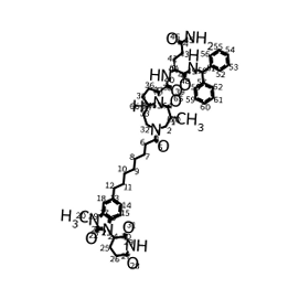 C[C@H]1CN(C(=O)CCCCCCCc2ccc3c(c2)n(C)c(=O)n3C2CCC(=O)NC2=O)CC[C@H]2CC[C@@H](C(=O)N[C@@H](CCC(N)=O)C(=O)NC(c3ccccc3)c3ccccc3)N2C1=O